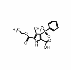 CCOC(=O)c1[nH]c(C(=O)O)c(S(=O)(=O)c2ccccc2)c1C